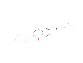 CCN(C)CCC(=O)Nc1ccc2c(=O)n(CC3(O)CCN(C)CC3)cnc2c1